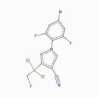 N#Cc1cn(-c2c(F)cc(Br)cc2F)cc1S(Cl)(Cl)CF